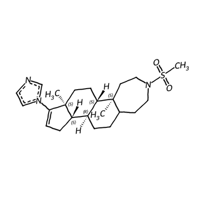 C[C@]12CCN(S(C)(=O)=O)CCC1CC[C@@H]1[C@@H]2CC[C@]2(C)C(n3ccnc3)=CC[C@@H]12